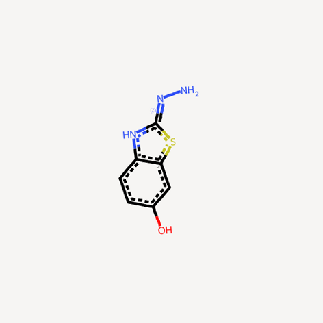 N/N=c1/[nH]c2ccc(O)cc2s1